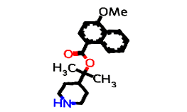 COc1ccc(C(=O)OC(C)(C)C2CCNCC2)c2ccccc12